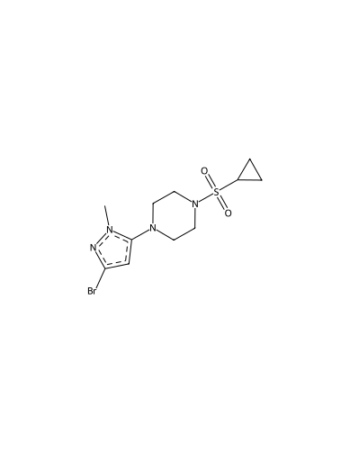 Cn1nc(Br)cc1N1CCN(S(=O)(=O)C2CC2)CC1